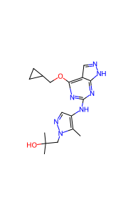 Cc1c(Nc2nc(OCC3CC3)c3cn[nH]c3n2)cnn1CC(C)(C)O